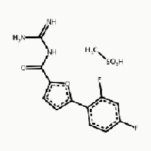 CS(=O)(=O)O.N=C(N)NC(=O)c1ccc(-c2ccc(F)cc2F)o1